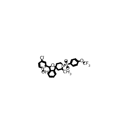 CC1CC2(CCN1S(=O)(=O)c1ccc(OC(F)(F)F)cc1)OC(c1cc(Cl)cc[n+]1O)c1ccccc12